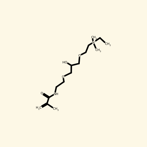 C=C(C)C(=O)NCCOCC(O)COCC[N+](C)(C)CC